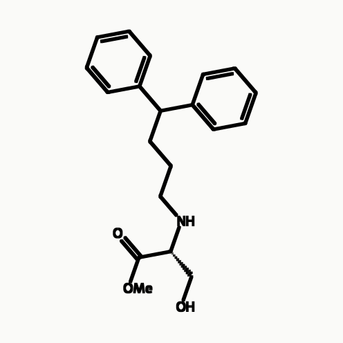 COC(=O)[C@@H](CO)NCCCC(c1ccccc1)c1ccccc1